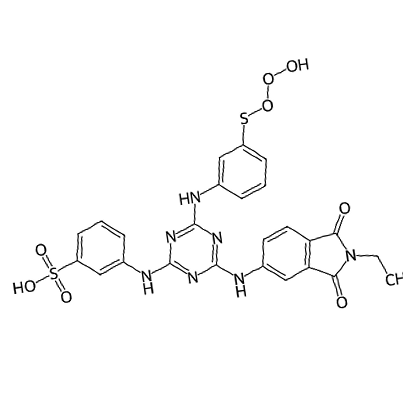 CCN1C(=O)c2ccc(Nc3nc(Nc4cccc(SOOO)c4)nc(Nc4cccc(S(=O)(=O)O)c4)n3)cc2C1=O